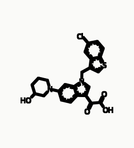 O=C(O)C(=O)c1cn(Cc2csc3ccc(Cl)cc23)c2cc(N3CCCC(O)C3)ccc12